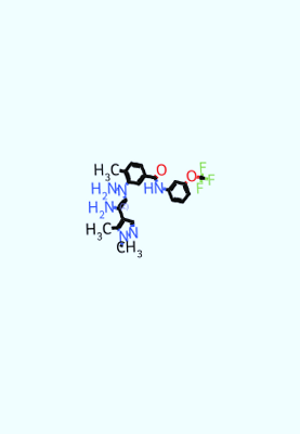 Cc1ccc(C(=O)Nc2cccc(OC(F)(F)F)c2)cc1N(N)/C=C(\N)c1cnn(C)c1C